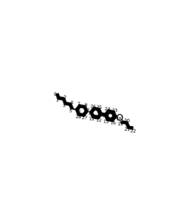 CCCCCC[C@H]1CC[C@H](C2C=CC(c3ccc(OCCCC)cc3)=CC2)CC1